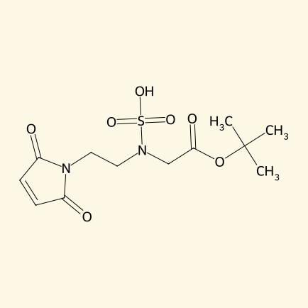 CC(C)(C)OC(=O)CN(CCN1C(=O)C=CC1=O)S(=O)(=O)O